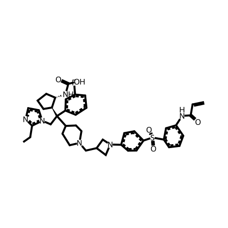 C=CC(=O)Nc1cccc(S(=O)(=O)c2ccc(N3CC(CN4CCC(C(Cn5ccnc5CC)(c5cccc(F)c5)[C@H]5CCC[C@@H]5NC(=O)O)CC4)C3)cc2)c1